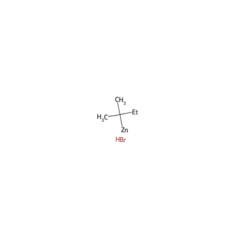 Br.CC[C](C)(C)[Zn]